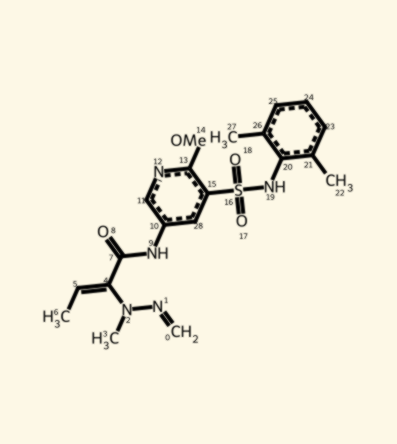 C=NN(C)/C(=C\C)C(=O)Nc1cnc(OC)c(S(=O)(=O)Nc2c(C)cccc2C)c1